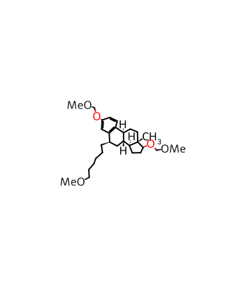 COCCCCCC[C@@H]1C[C@@H]2[C@H](CC[C@]3(C)[C@@H](OCOC)CC[C@@H]23)c2ccc(OCOC)cc21